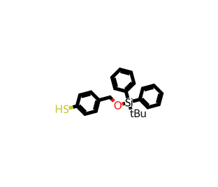 CC(C)(C)[Si](OCc1ccc(S)cc1)(c1ccccc1)c1ccccc1